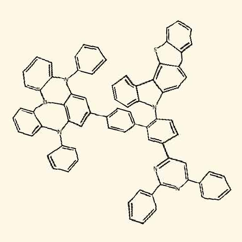 c1ccc(-c2cc(-c3ccc(-n4c5ccccc5c5c6sc7ccccc7c6ccc54)c(-c4ccc(-c5cc6c7c(c5)N(c5ccccc5)c5ccccc5B7c5ccccc5N6c5ccccc5)cc4)c3)nc(-c3ccccc3)n2)cc1